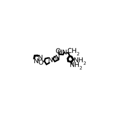 C=C(NCC(=O)N1CCC(N2CCC(Oc3ncccn3)CC2)C1)c1ccc(N)c(N)c1